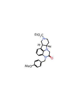 CCOC(=O)N1CC[C@H]2[C@H](C1)c1cccc3c1N2CC(=O)N3Cc1ccc(OC)cc1